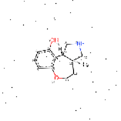 Oc1cccc2c1[C@@H]1CNC[C@H]1CCO2